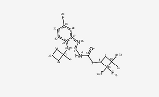 CC1(n2c(NC(=O)CC3CC(C)(F)C3(F)F)nc3cc(F)ccc32)CCC1